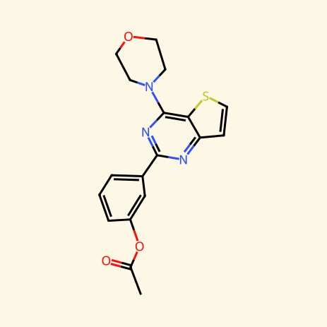 CC(=O)Oc1cccc(-c2nc(N3CCOCC3)c3sccc3n2)c1